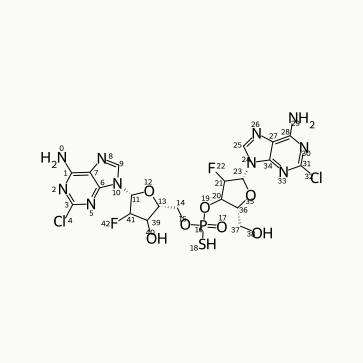 Nc1nc(Cl)nc2c1ncn2[C@@H]1O[C@H](COP(=O)(S)OC2C(F)[C@H](n3cnc4c(N)nc(Cl)nc43)O[C@@H]2CO)C(O)C1F